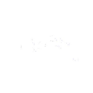 Cc1nc2c(F)cc(-c3ccn4nc(NC5CC6(CNC6)C5)ncc34)cc2n1C(C)C